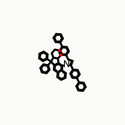 C1=CC2c3c(cc4ccccc4c3[N+]3=C(c4ccc(-c5ccccc5)cc4)C=C3c3ccc(-c4ccccc4)cc3)C(c3ccccc3)(c3ccccc3)C2CC1